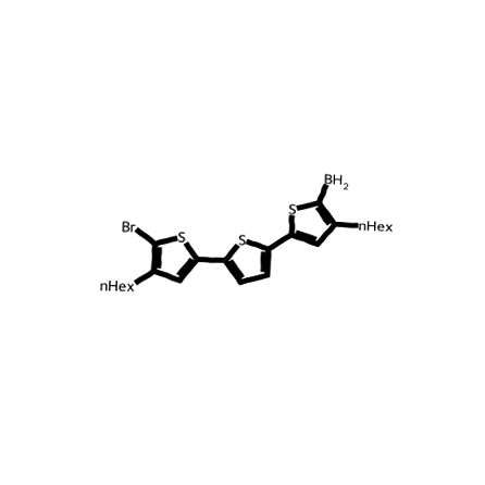 Bc1sc(-c2ccc(-c3cc(CCCCCC)c(Br)s3)s2)cc1CCCCCC